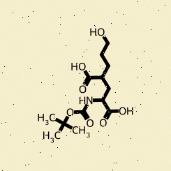 CC(C)(C)OC(=O)NC(CC(CCCO)C(=O)O)C(=O)O